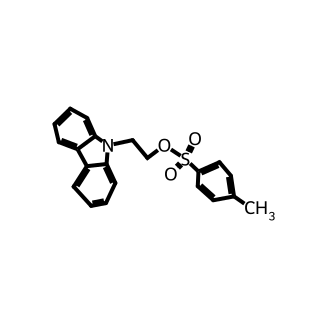 Cc1ccc(S(=O)(=O)OCCn2c3ccccc3c3ccccc32)cc1